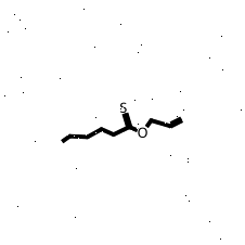 C=CCOC(=S)CCCCC